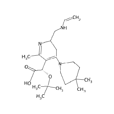 C=CNCC1CC(N2CCC(C)(C)CC2)=C([C@H](OC(C)(C)C)C(=O)O)C(C)=N1